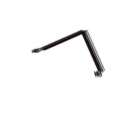 Cl.Cl.Cl.Cl.Cl.Cl.Cl.Cl.Cl.Cl.[Na+].[Na+].[Na+].[Na+].[Na+].[Na+].[Na+].[Na+].[Na+].[Na+].[Na+].[Na+].[Na+].[Na+].[Na+].[Na+].[Na+].[Na+].[Na+].[Na+].[Na+].[Na+].[Na+].[Na+].[Na+].[Na+].[Na+].[Na+].[Na+].[Na+].[Na+].[Na+].[Na+].[Na+].[Na+].[Na+].[Na+].[Na+].[Na+].[Na+].[Na+].[Na+].[Na+].[Na+].[Na+].[Na+].[Na+].[Na+].[Na+].[Na+].[Na+].[Na+].[Na+].[Na+].[Na+].[Na+].[Na+].[Na+].[Na+].[Na+].[Na+].[Na+].[Na+].[Na+].[Na+].[Na+].[Na+].[Na+].[Na+].[Na+].[Na+].[Na+].[Na+].[Na+].[Na+].[Na+].[Na+].[Na+].[Na+].[Na+].[Na+].[Na+].[Na+].[Na+].[Na+].[Na+].[Na+].[Na+].[Na+].[Na+].[Na+].[Na+].[Na+].[Na+].[Na+].[Na+].[Na+].[Na+].[Na+].[Na+]